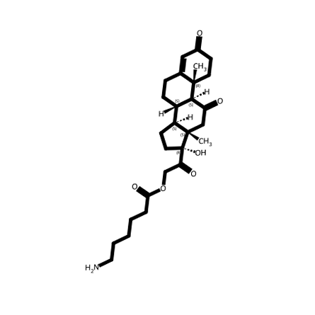 C[C@]12CCC(=O)C=C1CC[C@@H]1[C@@H]2C(=O)C[C@@]2(C)[C@H]1CC[C@]2(O)C(=O)COC(=O)CCCCCN